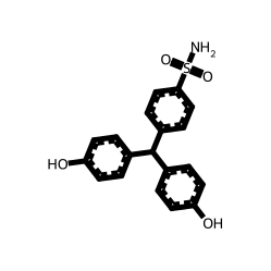 NS(=O)(=O)c1ccc(C(c2ccc(O)cc2)c2ccc(O)cc2)cc1